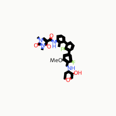 COc1cc(-c2cccc(-c3cccc(NC(=O)c4cn(C)c(=O)n(C)c4=O)c3C)c2F)cc(F)c1CN[C@@H]1CCOC[C@@H]1O